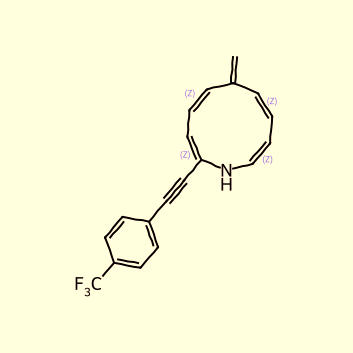 C=C1/C=C\C=C/N/C(C#Cc2ccc(C(F)(F)F)cc2)=C\C=C/1